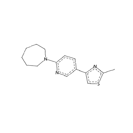 Cc1nc(-c2ccc(N3CCCCCC3)nc2)cs1